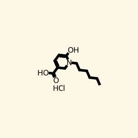 CCCCCCN1CC(C(=O)O)=CC=C1O.Cl